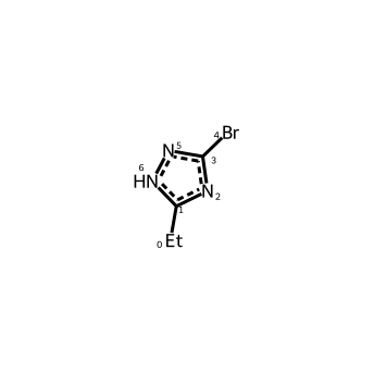 CCc1nc(Br)n[nH]1